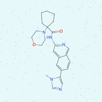 Cn1cncc1-c1ccc2cnc(NC(=O)C3(N4CCOCC4)CCCCC3)cc2c1